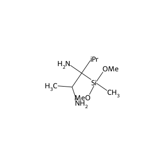 CO[Si](C)(OC)C(N)(C(C)C)C(C)N